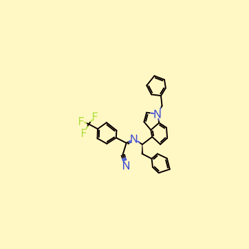 N#C/C(=N\[C@H](Cc1ccccc1)c1cccc2c1ccn2Cc1ccccc1)c1ccc(C(F)(F)F)cc1